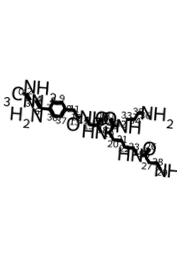 C/C(N)=N/N=C(\N)c1ccc(CC(=O)NCC(=O)NC(CCCCNC(=O)CCN)C(=O)NCCCN)cc1